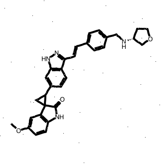 COc1ccc2c(c1)C1(CC1c1ccc3c(/C=C/c4ccc(CN[C@@H]5CCOC5)cc4)n[nH]c3c1)C(=O)N2